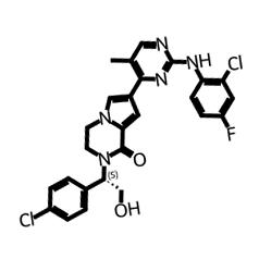 Cc1cnc(Nc2ccc(F)cc2Cl)nc1-c1cc2n(c1)CCN([C@H](CO)c1ccc(Cl)cc1)C2=O